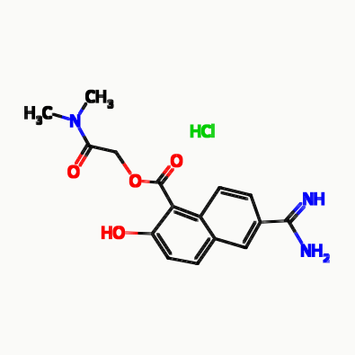 CN(C)C(=O)COC(=O)c1c(O)ccc2cc(C(=N)N)ccc12.Cl